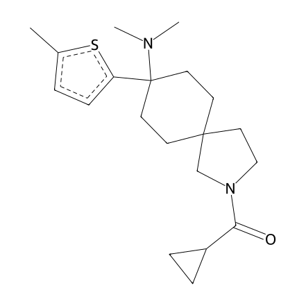 Cc1ccc(C2(N(C)C)CCC3(CCN(C(=O)C4CC4)C3)CC2)s1